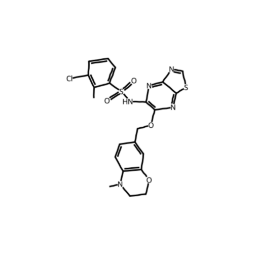 Cc1c(Cl)cccc1S(=O)(=O)Nc1nc2ncsc2nc1OCc1ccc2c(c1)OCCN2C